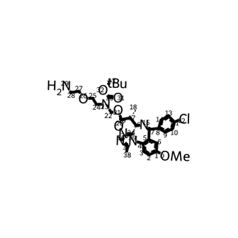 COc1ccc2c(c1)C(c1ccc(Cl)cc1)=N[C@@H]([C@@H](C)C(=O)OCN(CCOCCN)C(=O)OC(C)(C)C)c1nnc(C)n1-2